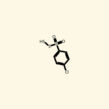 O=S(=O)(SS)c1ccc(Cl)cc1